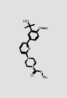 CC(C)Oc1ccc(-c2cccc(N3CCN(C(=O)OC(C)(C)C)CC3)n2)cc1C(C)(C)O